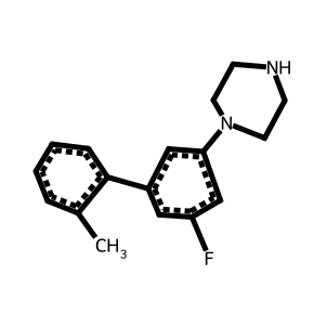 Cc1ccccc1-c1cc(F)cc(N2CCNCC2)c1